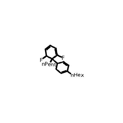 CCCCCCC1=CCC(C2(CCCCC)C(F)=CC=CC2F)C=C1